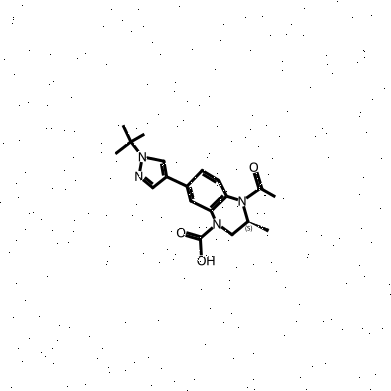 CC(=O)N1c2ccc(-c3cnn(C(C)(C)C)c3)cc2N(C(=O)O)C[C@@H]1C